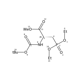 CCOP(=O)(C[C@H](NC(=O)OC(C)(C)C)C(=O)OC)OCC